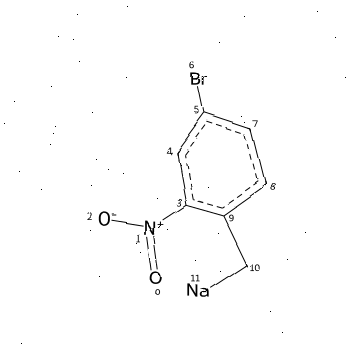 O=[N+]([O-])c1cc(Br)ccc1[CH2][Na]